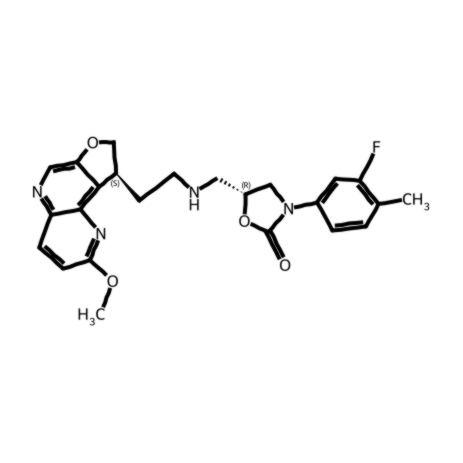 COc1ccc2ncc3c(c2n1)[C@H](CCNC[C@@H]1CN(c2ccc(C)c(F)c2)C(=O)O1)CO3